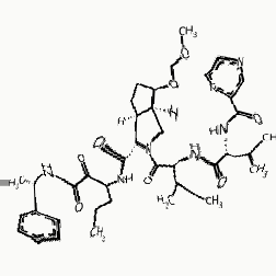 CCCC(NC(=O)[C@@H]1[C@H]2CC[C@@H](OCOC)[C@H]2CN1C(=O)[C@@H](NC(=O)[C@H](NC(=O)c1cnccn1)C(C)C)C(C)C)C(=O)C(=O)N[C@@H](C)c1ccccc1